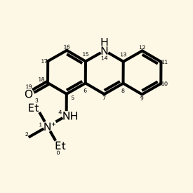 CC[N+](C)(CC)NC1=C2C=C3C=CC=CC3NC2=CCC1=O